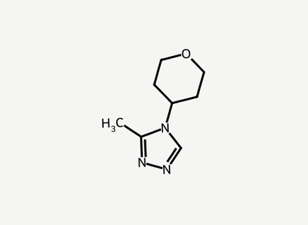 Cc1nncn1C1CCOCC1